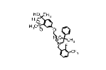 CC(C)(O)c1ccc(OCCCN(Cc2cccc(C(F)(F)F)c2F)CC(C)(C)c2ccccc2)cc1S(C)(=O)=O